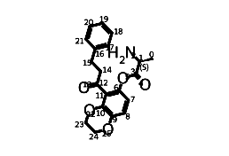 C[C@H](N)C(=O)Oc1ccc2c(c1C(=O)CCc1ccccc1)OCCO2